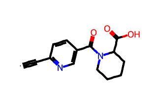 [C]#Cc1ccc(C(=O)N2CCCCC2C(=O)O)cn1